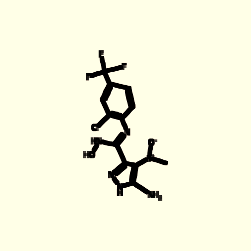 C[S+]([O-])c1c(C(=Nc2ccc(C(F)(F)F)cc2Cl)NO)n[nH]c1N